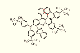 CC(C)(C)c1ccc(N(c2ccc(C(C)(C)C)cc2)c2ccc3c4c2c2oc5ccccc5c2n4B2c4ccc(C(C)(C)C)cc4N(c4ccc(C(C)(C)C)cc4-c4ccccc4)c4cc5ccccc5c-3c42)cc1